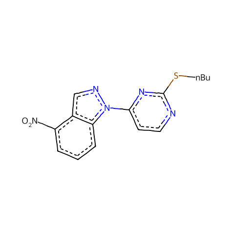 CCCCSc1nccc(-n2ncc3c([N+](=O)[O-])cccc32)n1